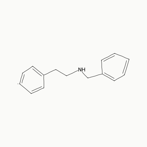 [c]1ccc(CCNCc2ccccc2)cc1